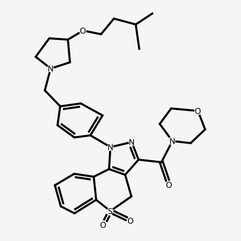 CC(C)CCOC1CCN(Cc2ccc(-n3nc(C(=O)N4CCOCC4)c4c3-c3ccccc3S(=O)(=O)C4)cc2)C1